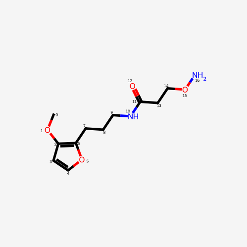 COc1ccoc1CCCNC(=O)CCON